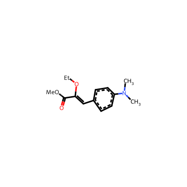 CCOC(=Cc1ccc(N(C)C)cc1)C(=O)OC